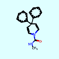 CNC(=O)N1C=CC(c2ccccc2)(c2ccccc2)C=C1